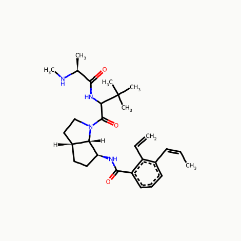 C=Cc1c(/C=C\C)cccc1C(=O)N[C@H]1CC[C@@H]2CCN(C(=O)C(NC(=O)[C@H](C)NC)C(C)(C)C)[C@@H]21